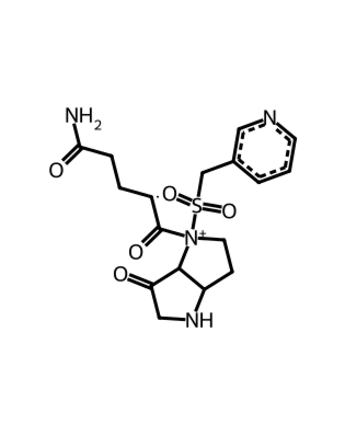 NC(=O)CC[CH]C(=O)[N+]1(S(=O)(=O)Cc2cccnc2)CCC2NCC(=O)C21